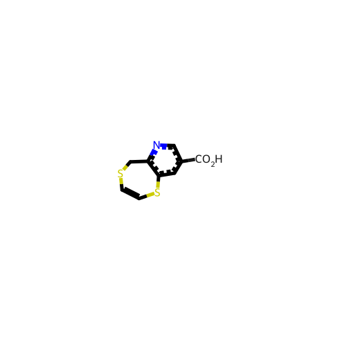 O=C(O)c1cnc2c(c1)SC=CSC2